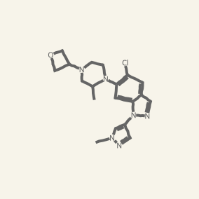 CC1CN(C2COC2)CCN1c1cc2c(cnn2-c2cnn(C)c2)cc1Cl